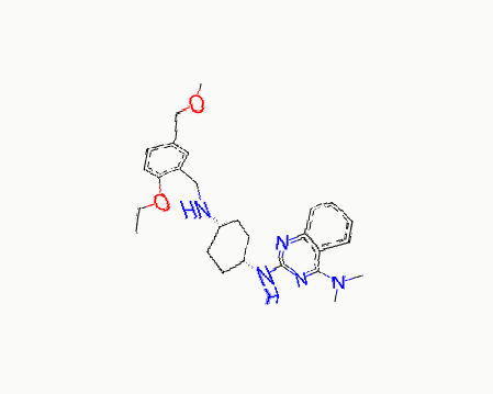 CCOc1ccc(COC)cc1CN[C@H]1CC[C@@H](Nc2nc(N(C)C)c3ccccc3n2)CC1